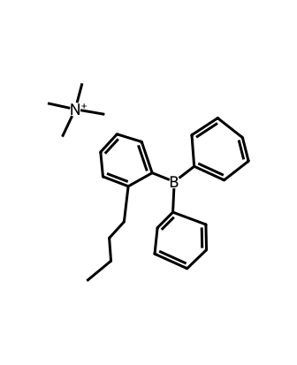 CCCCc1ccccc1B(c1ccccc1)c1ccccc1.C[N+](C)(C)C